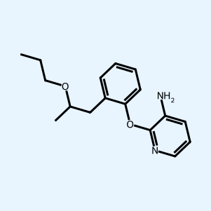 CCCOC(C)Cc1ccccc1Oc1ncccc1N